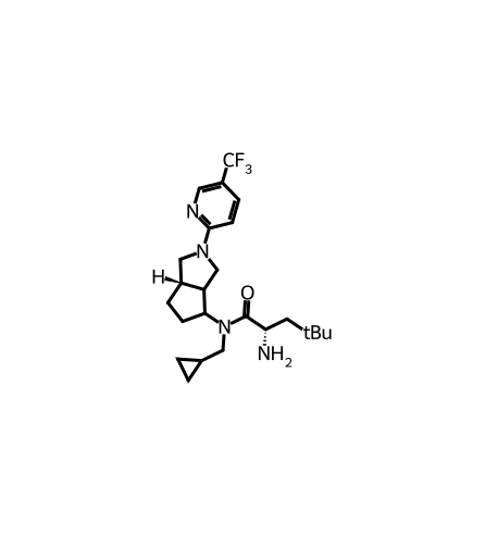 CC(C)(C)C[C@H](N)C(=O)N(CC1CC1)C1CC[C@@H]2CN(c3ccc(C(F)(F)F)cn3)CC12